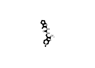 Cc1c(NC(=O)NCc2c(C(F)(F)F)sc3c2CCN(C)C3)sc2c1CCC2